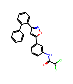 O=C(Nc1cccc(-c2cc(-c3ccccc3-c3ccccc3)no2)c1)C(Cl)Cl